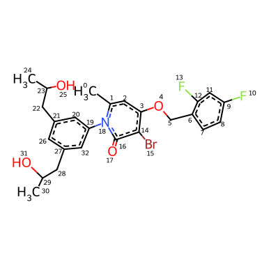 Cc1cc(OCc2ccc(F)cc2F)c(Br)c(=O)n1-c1cc(CC(C)O)cc(CC(C)O)c1